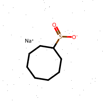 O=S([O-])C1CCCCCCC1.[Na+]